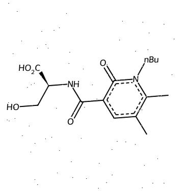 CCCCn1c(C)c(C)cc(C(=O)N[C@@H](CO)C(=O)O)c1=O